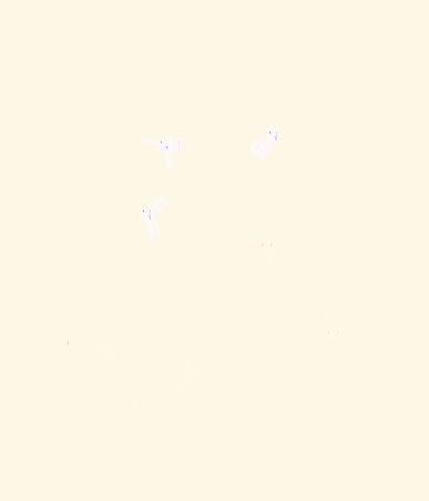 COc1cc2nc(Nc3ccccc3)c(C#N)c(OCC3CCCO3)c2cc1OC